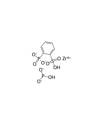 O=P([O-])([O-])c1ccccc1S(=O)(=O)O.[O-]P([O-])O.[Zr+4]